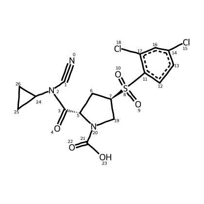 N#CN(C(=O)[C@@H]1C[C@@H](S(=O)(=O)c2ccc(Cl)cc2Cl)CN1C(=O)O)C1CC1